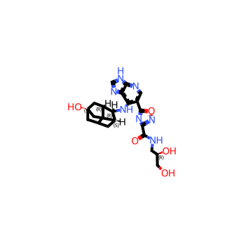 O=C(NC[C@@H](O)CO)c1noc(-c2cnc3[nH]cnc3c2N[C@H]2[C@@H]3CC4C[C@H]2C[C@@](O)(C4)C3)n1